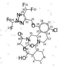 O=C(O)C1CCCCC1C(=O)N1CCc2c(Cl)ccc(OCc3nn(C(F)F)nc3C(F)F)c2C1CN1CCCC1=O